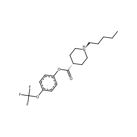 CCCCC[Si@H]1CC[C@H](C(=O)Oc2ccc(OC(F)(F)F)cc2)CC1